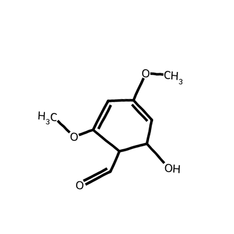 COC1=CC(O)C(C=O)C(OC)=C1